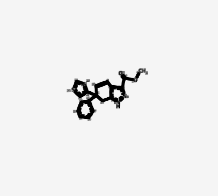 COC(=O)c1n[nH]c2c1C=CC(c1ccccc1)(c1cscn1)C2